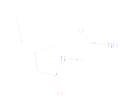 CCCC1CC(=O)N(CC(N)=O)C1